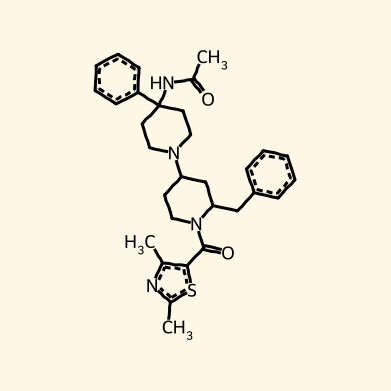 CC(=O)NC1(c2ccccc2)CCN(C2CCN(C(=O)c3sc(C)nc3C)C(Cc3ccccc3)C2)CC1